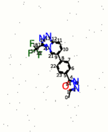 Cc1nnc(-c2ccc(-c3ccc4nnc(C(F)(F)F)n4c3)cc2)o1